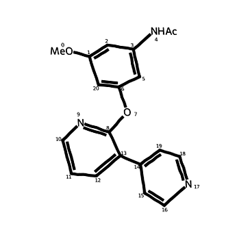 COc1cc(NC(C)=O)cc(Oc2ncccc2-c2ccncc2)c1